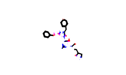 CC(C)C[C@H](NC(=O)C(Cc1ccc(O)cc1)NC(=O)OCc1ccccc1)C(=O)N[C@H](C=O)CCC1CCNC1=O